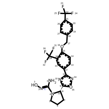 N/C(=N\O)N1CCC[C@H]1c1nc(-c2ccc(OCc3ccc(C(F)(F)F)cc3)c(C(F)(F)F)c2)no1